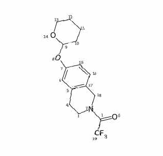 O=C(N1CCc2cc(OC3CCCCO3)ccc2C1)C(F)(F)F